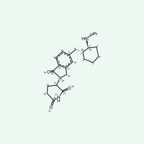 CC(C)N[C@H]1CCCC[C@@H]1Cc1ccc2c(c1)CN(C1CCC(=O)NC1=O)C2=O